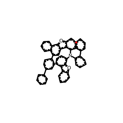 c1ccc(-c2ccc(-c3cc4c(oc5cccc(N(c6ccccc6-c6ccccc6)c6cccc7c6oc6ccccc67)c54)c4ccccc34)cc2)cc1